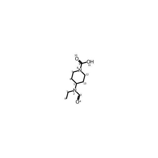 CCN(C=O)C1CCN(C(=O)O)CC1